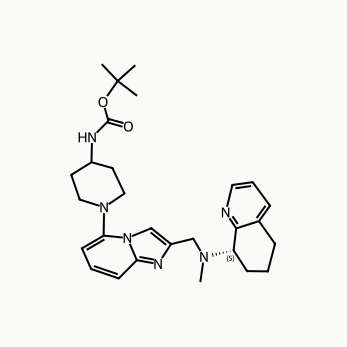 CN(Cc1cn2c(N3CCC(NC(=O)OC(C)(C)C)CC3)cccc2n1)[C@H]1CCCc2cccnc21